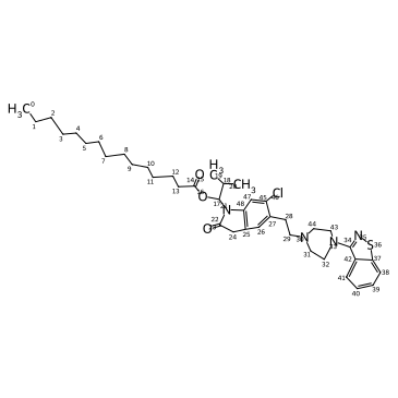 CCCCCCCCCCCCCCC(=O)OC(C(C)C)N1C(=O)Cc2cc(CCN3CCN(c4nsc5ccccc45)CC3)c(Cl)cc21